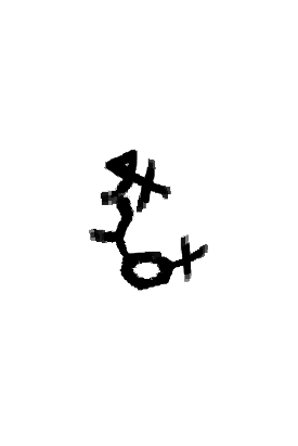 OC(CNC1(C(F)(F)F)CC1)c1cccc(C(F)(F)F)n1